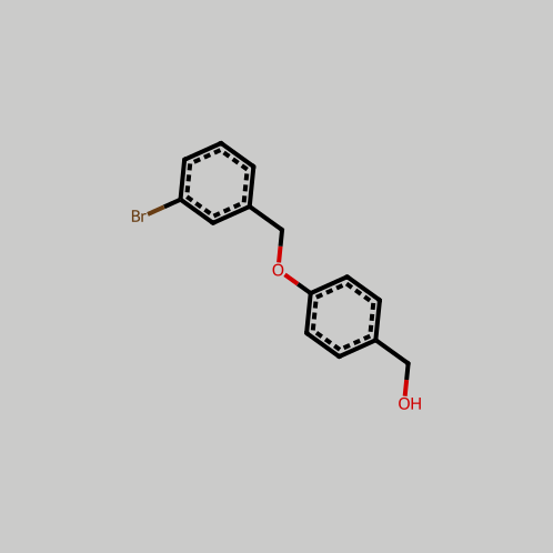 OCc1ccc(OCc2cccc(Br)c2)cc1